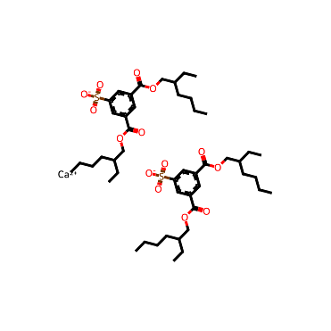 CCCCC(CC)COC(=O)c1cc(C(=O)OCC(CC)CCCC)cc(S(=O)(=O)[O-])c1.CCCCC(CC)COC(=O)c1cc(C(=O)OCC(CC)CCCC)cc(S(=O)(=O)[O-])c1.[Ca+2]